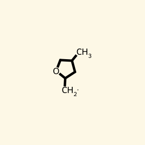 [CH2]C1CC(C)CO1